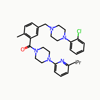 Cc1ccc(CN2CCN(c3ccccc3Cl)CC2)cc1C(=O)N1CCN(c2cccc(C(C)C)n2)CC1